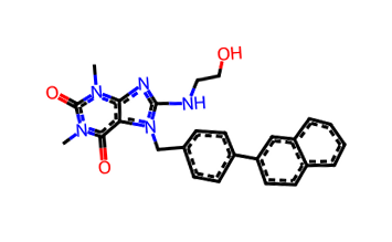 Cn1c(=O)c2c(nc(NCCO)n2Cc2ccc(-c3ccc4ccccc4c3)cc2)n(C)c1=O